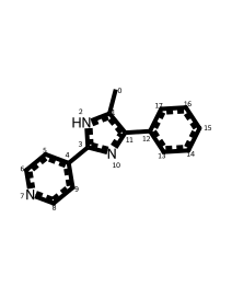 Cc1[nH]c(-c2ccncc2)nc1-c1ccccc1